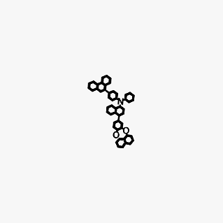 c1ccc(N(c2ccc(-c3cc4ccccc4c4ccccc34)cc2)c2ccc(-c3ccc4c(c3)Oc3cccc5cccc(c35)O4)c3ccccc23)cc1